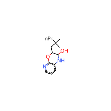 CCCC(C)(C)CC1Oc2ncccc2NC1O